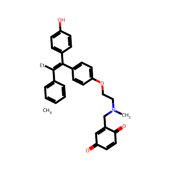 C.CC/C(=C(\c1ccc(O)cc1)c1ccc(OCCN(C)CC2=CC(=O)C=CC2=O)cc1)c1ccccc1